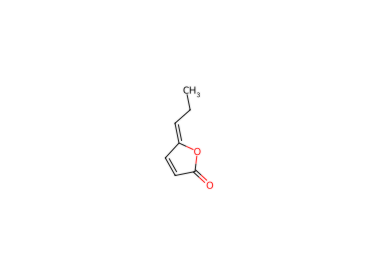 CCC=C1C=CC(=O)O1